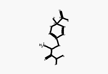 C=C(C(C)C)C(N)CC1=CCC(C)(C(=C)C)C=C1